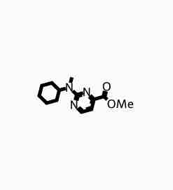 COC(=O)c1ccnc(N(C)C2CCCCC2)n1